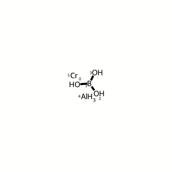 OB(O)O.[AlH3].[Cr]